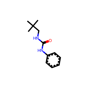 CC(C)(C)CNC(=O)Nc1ccccc1